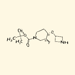 CC(C)(C)OC(=O)N1CC[C@H](OC2CNC2)[C@@H](F)C1